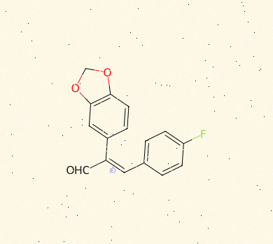 O=C/C(=C/c1ccc(F)cc1)c1ccc2c(c1)OCO2